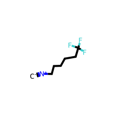 [C-]#[N+]CCCCCC(F)(F)F